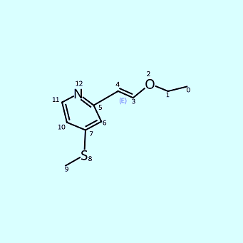 CCO/C=C/c1cc(SC)ccn1